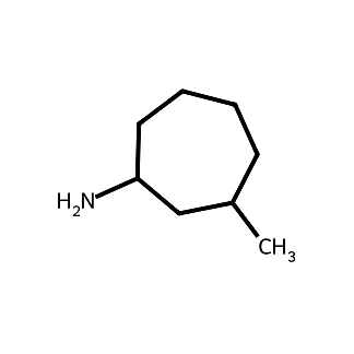 CC1CCCCC(N)C1